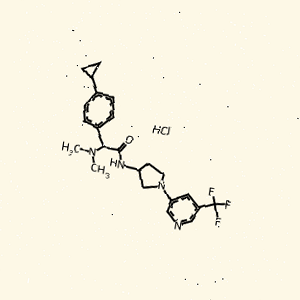 CN(C)C(C(=O)NC1CCN(c2cncc(C(F)(F)F)c2)C1)c1ccc(C2CC2)cc1.Cl